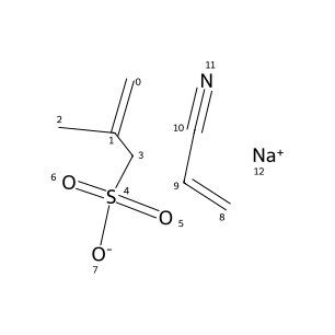 C=C(C)CS(=O)(=O)[O-].C=CC#N.[Na+]